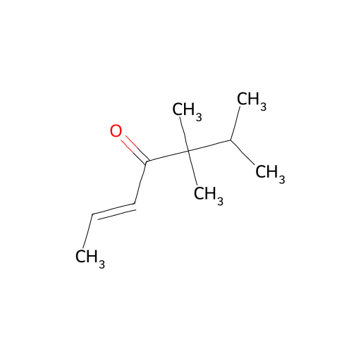 CC=CC(=O)C(C)(C)C(C)C